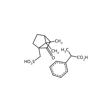 CC(C(=O)O)c1ccccc1.CC1(C)C2CCC1(CS(=O)(=O)O)C(=O)C2